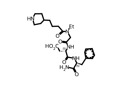 CCN(CC(=O)N[C@@H](CC(=O)O)C(=O)N[C@@H](Cc1ccccc1)C(N)=O)C(=O)CCCC1CCNCC1